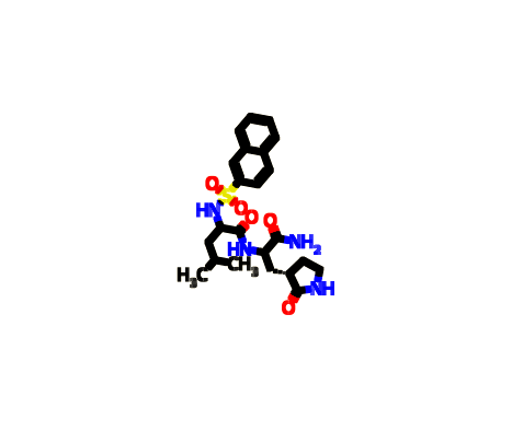 CC(C)CC(NS(=O)(=O)c1ccc2ccccc2c1)C(=O)NC(C[C@@H]1CCNC1=O)C(N)=O